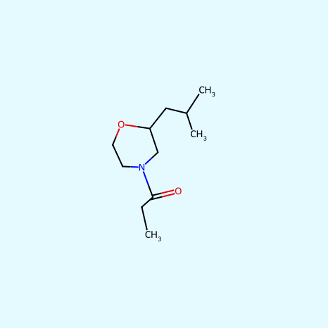 CCC(=O)N1CCOC(CC(C)C)C1